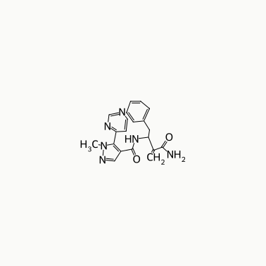 C=C(C(N)=O)C(Cc1ccccc1)NC(=O)c1cnn(C)c1-c1ccncn1